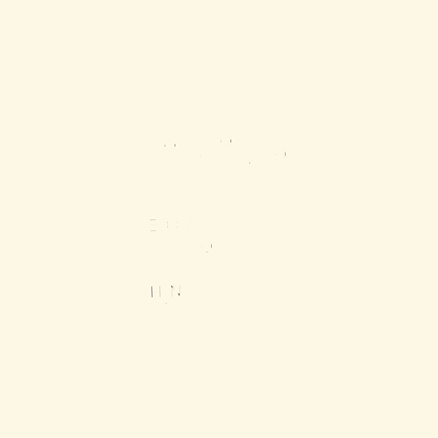 C=CC(=O)OCC.C=CC(N)=O.O=C1C=CC(=O)O1